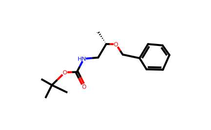 [CH2][C@@H](CNC(=O)OC(C)(C)C)OCc1ccccc1